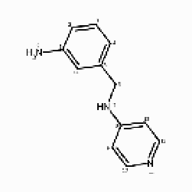 Nc1cccc(CNc2ccncc2)c1